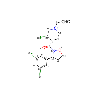 O=CCN1CC[C@H](C(=O)N2OCC[C@H]2c2cc(F)cc(F)c2)[C@H](F)C1